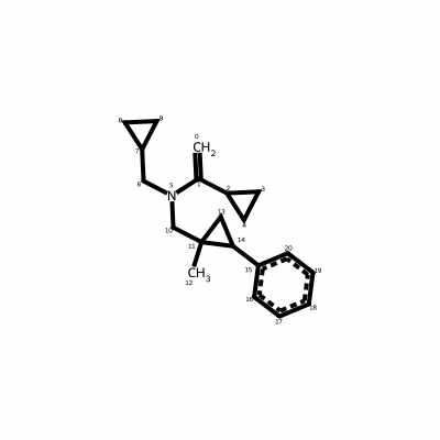 C=C(C1CC1)N(CC1CC1)CC1(C)CC1c1ccccc1